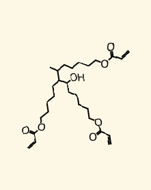 C=CC(=O)OCCCCCC(C)C(CCCCCOC(=O)C=C)C(O)CCCCCOC(=O)C=C